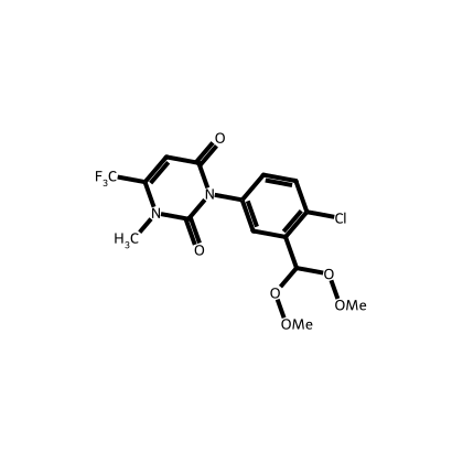 COOC(OOC)c1cc(-n2c(=O)cc(C(F)(F)F)n(C)c2=O)ccc1Cl